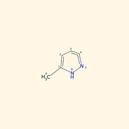 CC1=CC=C=NN1